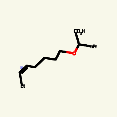 CC/C=C\CCCCOC(CCC)C(=O)O